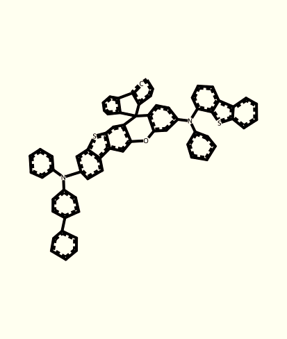 c1ccc(-c2ccc(N(c3ccccc3)c3ccc4c(c3)sc3cc5c(cc34)Oc3cc(N(c4ccccc4)c4cccc6c4sc4ccccc46)ccc3C53c4ccccc4-c4ccccc43)cc2)cc1